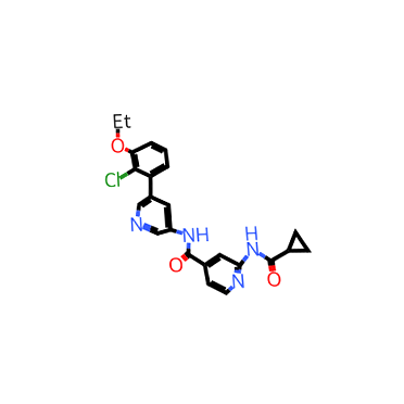 CCOc1cccc(-c2cncc(NC(=O)c3ccnc(NC(=O)C4CC4)c3)c2)c1Cl